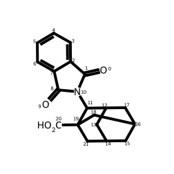 O=C1c2ccccc2C(=O)N1C1C2CC3CC(C2)CC1(C(=O)O)C3